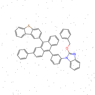 c1ccc(COc2nc3ccccc3n2-c2cccc(-c3c4ccccc4c(-c4ccc5sc6ccccc6c5c4)c4cc(-c5ccccc5)ccc34)c2)cc1